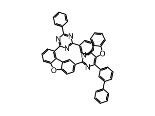 c1ccc(-c2cccc(-c3nc(-c4ccc5oc6cccc(-c7nc(-c8ccccc8)nc(-c8ccccc8)n7)c6c5c4)nc4c3oc3ccccc34)c2)cc1